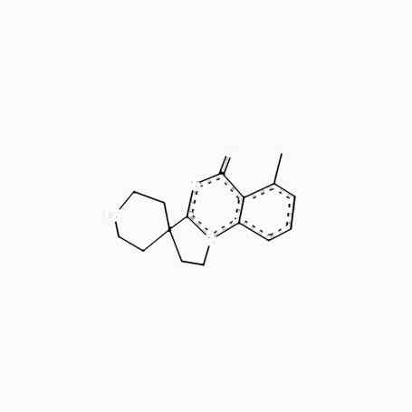 O=c1nc2n(c3cccc(Cl)c13)CCC21CCNCC1